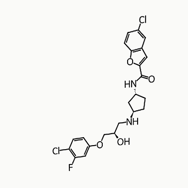 O=C(N[C@@H]1CC[C@@H](NC[C@@H](O)COc2ccc(Cl)c(F)c2)C1)c1cc2cc(Cl)ccc2o1